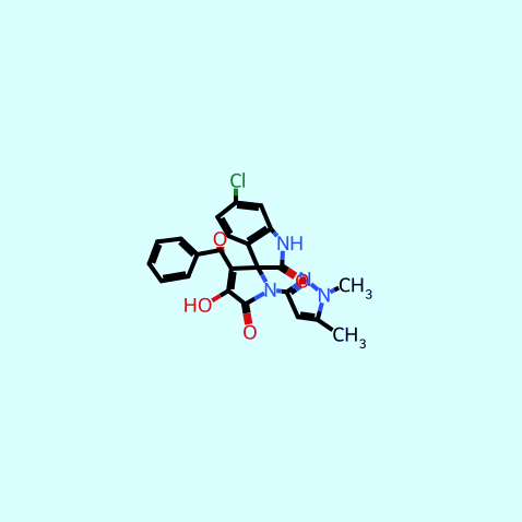 Cc1cc(N2C(=O)C(O)=C(C(=O)c3ccccc3)C23C(=O)Nc2cc(Cl)ccc23)nn1C